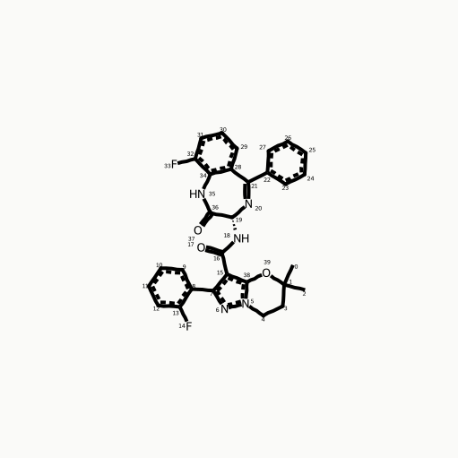 CC1(C)CCn2nc(-c3ccccc3F)c(C(=O)N[C@H]3N=C(c4ccccc4)c4cccc(F)c4NC3=O)c2O1